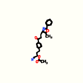 CC(=O)OC(C#N)CCc1ccc(C(=O)CCc2nc(-c3ccccc3)oc2C)cc1